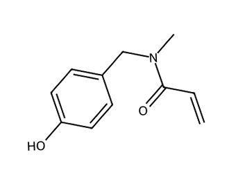 C=CC(=O)N(C)Cc1ccc(O)cc1